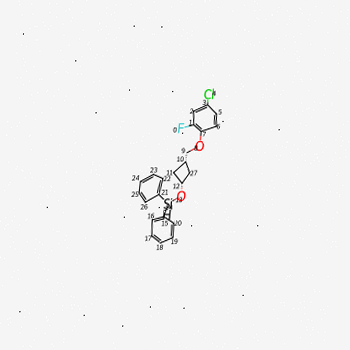 Fc1cc(Cl)ccc1OC[C@H]1C[C@@H](O[SiH](c2ccccc2)c2ccccc2)C1